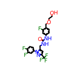 O=C(NCc1cc(C(F)(F)F)nn1-c1ccc(F)c(F)c1)Nc1ccc(COCCO)c(F)c1